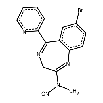 CN(N=O)C1=Nc2ccc(Br)cc2C(c2ccccn2)=NC1